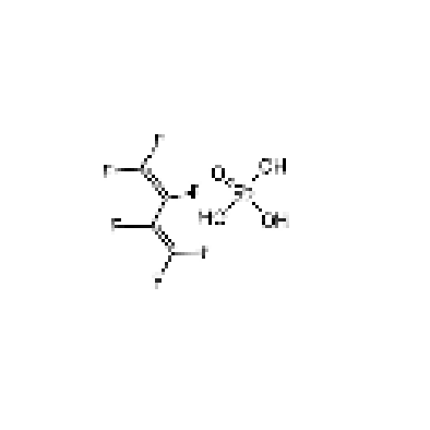 FC(F)=C(F)C(F)=C(F)F.[O]=[Sb]([OH])([OH])[OH]